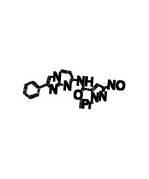 CC(C)n1nc(N=O)cc1C(=O)Nc1ccn2cc(-c3ccccc3)nc2n1